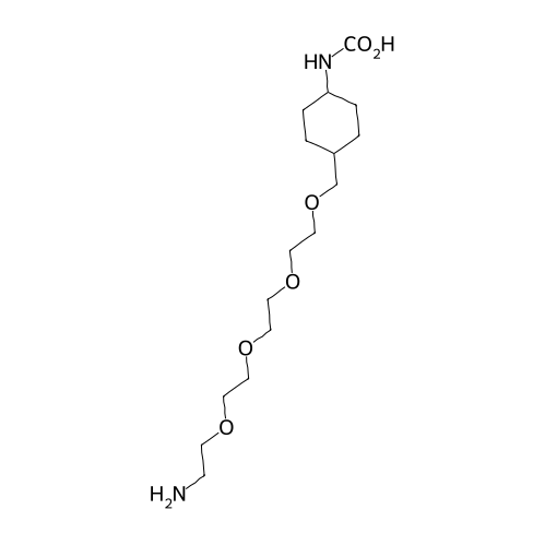 NCCOCCOCCOCCOCC1CCC(NC(=O)O)CC1